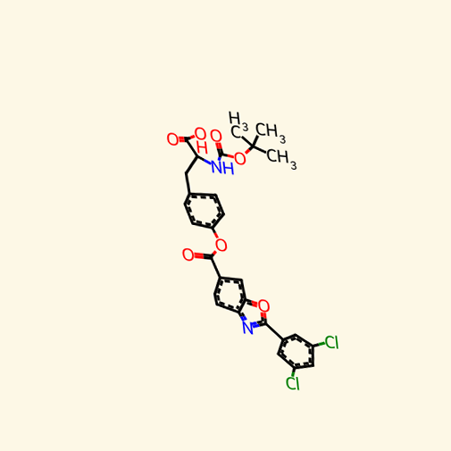 CC(C)(C)OC(=O)NC(Cc1ccc(OC(=O)c2ccc3nc(-c4cc(Cl)cc(Cl)c4)oc3c2)cc1)C(=O)O